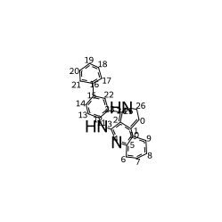 C1=c2c3c(nc4ccccc24)Nc2ccc(-c4ccccc4)cc2C=3NC1